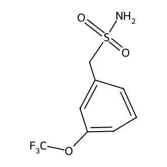 NS(=O)(=O)Cc1cccc(OC(F)(F)F)c1